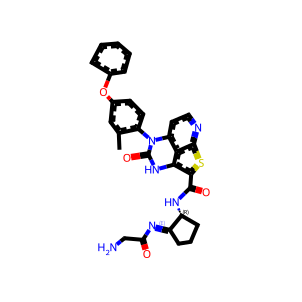 Cc1cc(Oc2ccccc2)ccc1N1C(=O)Nc2c(C(=O)N[C@@H]3CCC/C3=N\C(=O)CN)sc3nccc1c23